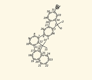 CC1(C)c2ccc(-c3cccc4c3C(C)(C)c3c-4ccc4ccccc34)cc2-c2ccc(Br)cc21